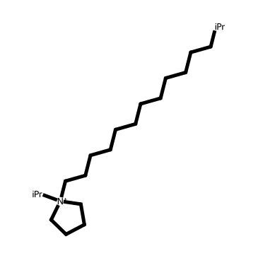 CC(C)CCCCCCCCCCCC[N+]1(C(C)C)CCCC1